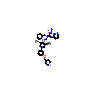 CC(C)c1cc(-c2cccc(OCc3ccncc3)c2)cc(C(C)C)c1NC(=O)N(CC1CCCCC1)c1cc2cccnc2[nH]c1=O